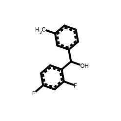 Cc1cccc(C(O)c2ccc(F)cc2F)c1